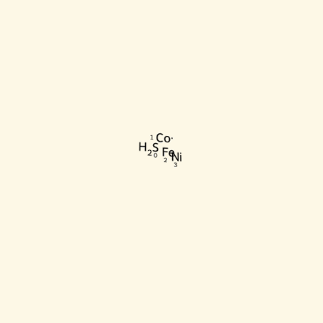 S.[Co].[Fe].[Ni]